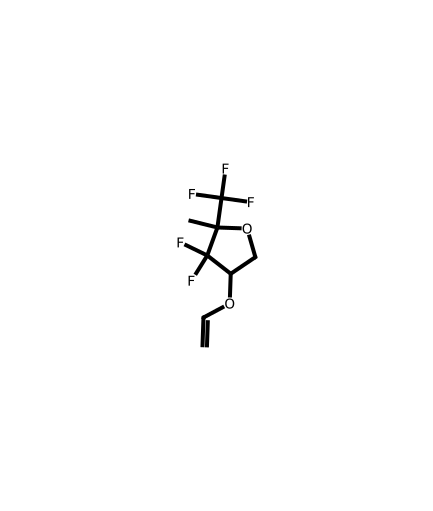 C=COC1COC(C)(C(F)(F)F)C1(F)F